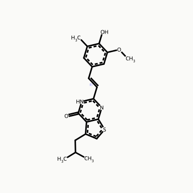 COc1cc(/C=C/c2nc3scc(CC(C)C)c3c(=O)[nH]2)cc(C)c1O